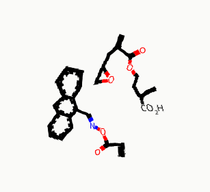 C=C(CCOC(=O)C(=C)CC1CO1)C(=O)O.C=CC(=O)ON=Cc1c2ccccc2cc2ccccc12